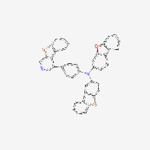 c1ccc2c(c1)oc1cc(N(c3ccc(-c4cncc5sc6ccccc6c45)cc3)c3ccc4sc5ccccc5c4c3)ccc12